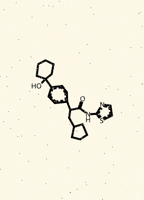 O=C(Nc1nccs1)C(CC1CCCC1)c1ccc(C2(O)CCCCC2)cc1